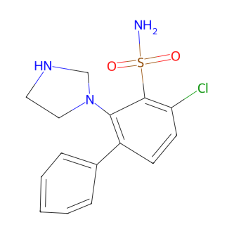 NS(=O)(=O)c1c(Cl)ccc(-c2ccccc2)c1N1CCNC1